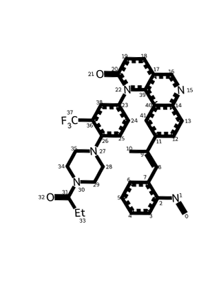 C=Nc1ccccc1/C=C(\C)c1ccc2ncc3ccc(=O)n(-c4ccc(N5CCN(C(=O)CC)CC5)c(C(F)(F)F)c4)c3c2c1